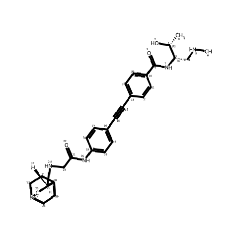 C[C@@H](O)[C@H](CNO)NC(=O)c1ccc(C#Cc2ccc(NC(=O)CN[C@H]3CN4CCC3CC4)cc2)cc1